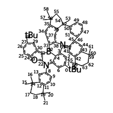 CC(C)(C)c1cc2c3c(c1)N(c1ccc4c(c1)C(C)(C)CCC4(C)C)c1oc4ccc(C(C)(C)C)cc4c1B3c1cc3c4cc1N2c1cc2c(cc1-c1cccc(c1)C4(C)CCC3(C)C)C(C)(C)CCC2(C)C